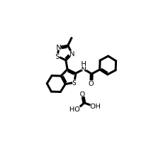 Cc1nsc(-c2c(NC(=O)C3=CCCCC3)sc3c2CCCC3)n1.O=C(O)O